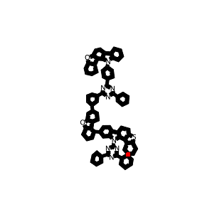 c1ccc(-c2nc(-c3ccc(-n4c5ccccc5c5ccc6oc7ccccc7c6c54)cc3)nc(-c3cccc(-c4ccc5c(c4)oc4cccc(-c6ccc7c8ccc9sc%10ccccc%10c9c8n(-c8nc(-c9ccccc9)nc(-c9ccccc9)n8)c7c6)c45)c3)n2)cc1